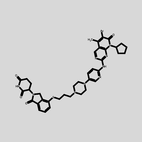 CC(=O)c1c(C)c2cnc(Nc3ccc(N4CCN(CCCSc5cccc6c5CN(C5CCC(=O)NC5=O)C6=O)CC4)cn3)nc2n(C2CCCC2)c1=O